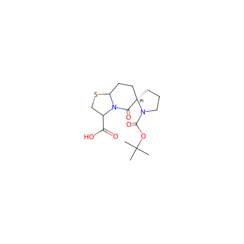 CC(C)(C)OC(=O)N1CCC[C@]12CCC1SCC(C(=O)O)N1C2=O